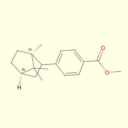 COC(=O)c1ccc(C2C[C@H]3CC[C@]2(C)C3(C)C)cc1